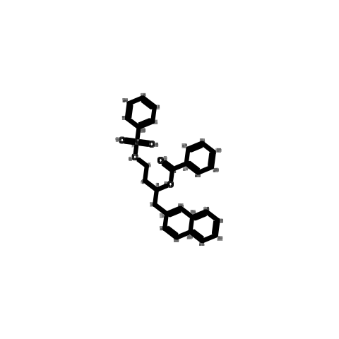 O=C(OC(CCOS(=O)(=O)c1ccccc1)Cc1ccc2ccccc2c1)c1ccccc1